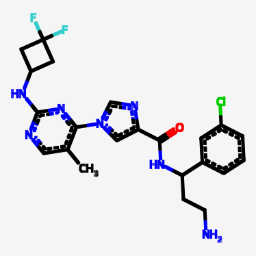 Cc1cnc(NC2CC(F)(F)C2)nc1-n1cnc(C(=O)NC(CCN)c2cccc(Cl)c2)c1